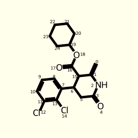 C=C1NC(=O)CC(c2cccc(Cl)c2Cl)C1C(=O)OC1CCCCC1